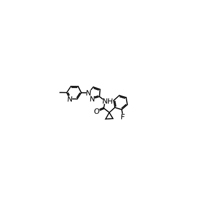 Cc1ccc(-n2ccc(NC(=O)C3(c4ccccc4F)CC3)n2)cn1